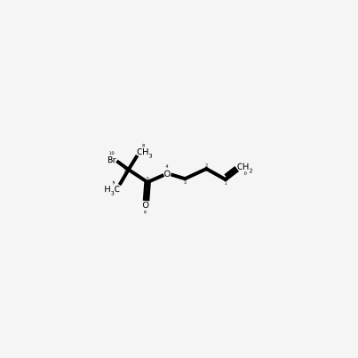 C=CCCOC(=O)C(C)(C)Br